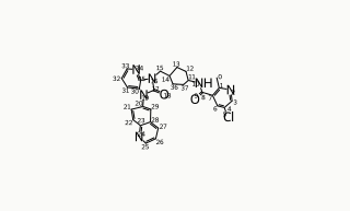 Cc1ncc(Cl)cc1C(=O)NC1CCC(Cn2c(=O)n(-c3ccc4ncccc4c3)c3cccnc32)CC1